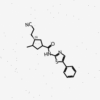 CC1CC(C(=O)Nc2ncc(-c3ccccc3)s2)C[C@@H]1CCC#N